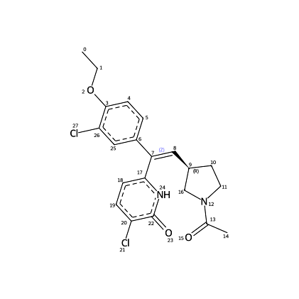 CCOc1ccc(/C(=C/[C@H]2CCN(C(C)=O)C2)c2ccc(Cl)c(=O)[nH]2)cc1Cl